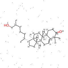 CC(CO)CCCC(C)[C@H]1CC[C@H]2[C@@H]3CC=C4C(C)(C)C(=O)CC[C@]4(C)[C@H]3CC[C@]12C